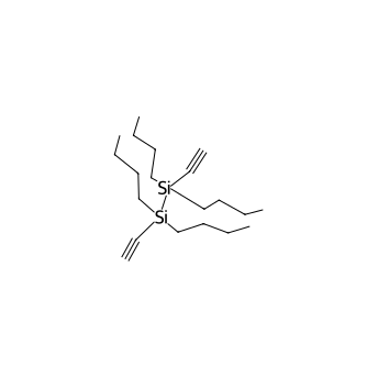 C#C[Si](CCCC)(CCCC)[Si](C#C)(CCCC)CCCC